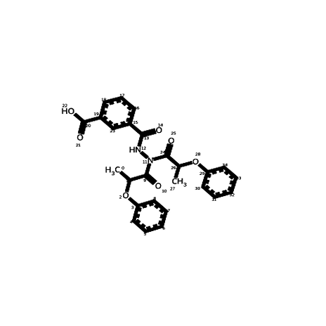 CC(Oc1ccccc1)C(=O)N(NC(=O)c1cccc(C(=O)O)c1)C(=O)C(C)Oc1ccccc1